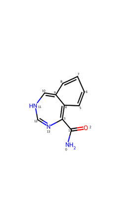 NC(=O)C1=c2ccccc2=CNC=N1